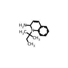 CCC(C)(C)N1c2ccccc2C=CC1N